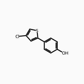 Oc1ccc(-c2cc(Cl)cs2)cc1